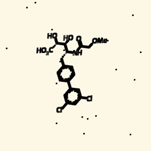 COCC(=O)N[C@H](Cc1ccc(-c2cc(Cl)cc(Cl)c2)cc1)[C@H](O)[C@@H](O)C(=O)O